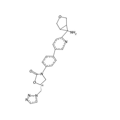 NC1(c2ccc(-c3ccc(N4C[C@H](Cn5ccnn5)OC4=O)cc3)cn2)C2COCC21